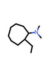 CCC1CCCCCCC1N(C)C